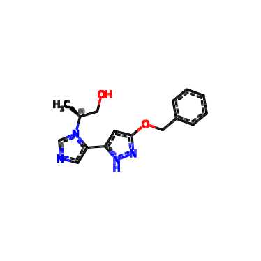 C[C@@H](CO)n1cncc1-c1cc(OCc2ccccc2)n[nH]1